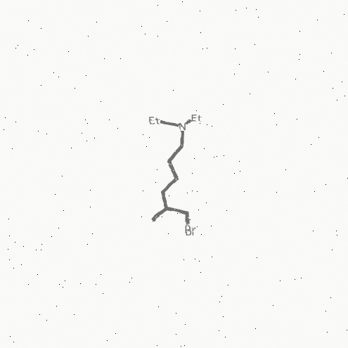 CCN(CC)CCCCC(C)CBr